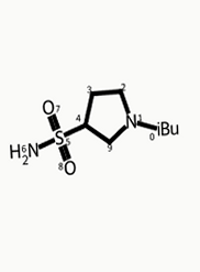 CCC(C)N1CCC(S(N)(=O)=O)C1